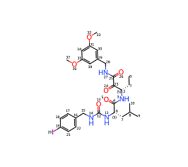 CC[C@H](NC(=O)[C@H](CC(C)C)NC(=O)NCc1ccc(I)cc1)C(=O)C(=O)NCc1cc(OC)cc(OC)c1